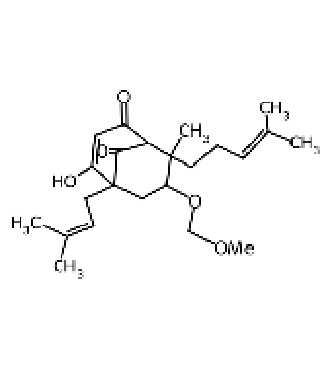 COCOC1CC2(CC=C(C)C)C(=O)C(C(=O)C=C2O)C1(C)CCC=C(C)C